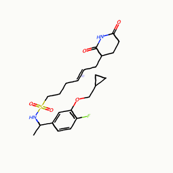 CC(NS(=O)(=O)CCC/C=C/CC1CCC(=O)NC1=O)c1ccc(F)c(OCC2CC2)c1